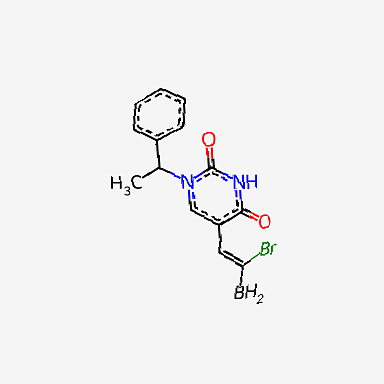 B/C(Br)=C/c1cn(C(C)c2ccccc2)c(=O)[nH]c1=O